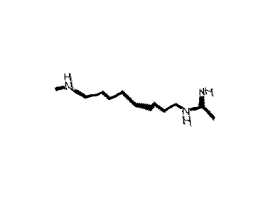 CNCCCCCCCCNC(C)=N